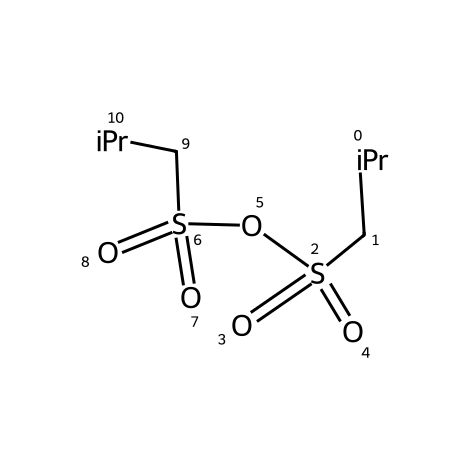 CC(C)CS(=O)(=O)OS(=O)(=O)CC(C)C